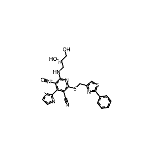 [C-]#[N+]c1c(NC[C@H](O)CO)nc(SCc2csc(-c3ccccc3)n2)c(C#N)c1-c1nccs1